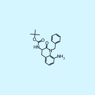 CC(C)(C)OC(=O)NC1Cc2cccc(N)c2N(Cc2ccccc2)C1=O